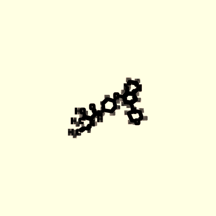 C=C/C=N\C(C(=O)N[C@H]1CC[C@@H](Oc2cc(N3CCOCC3)cc3nccnc23)CC1)=C(/C)O